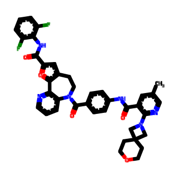 Cc1cnc(N2CC3(CCOCC3)C2)c(C(=O)Nc2ccc(C(=O)N3CCc4cc(C(=O)Nc5c(F)cccc5F)oc4-c4ncccc43)cc2)c1